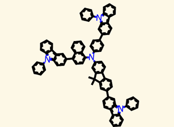 CC1(C)c2cc(-c3ccc4c5ccccc5n(-c5ccccc5)c4c3)ccc2-c2ccc(N(c3ccc(-c4ccc5c6ccccc6n(-c6ccccc6)c5c4)cc3)c3ccc(-c4ccc5c(c4)c4ccccc4n5-c4ccccc4)c4ccccc34)cc21